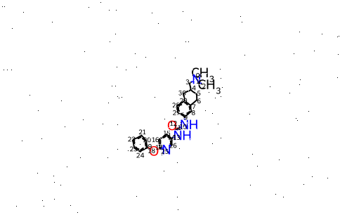 CN(C)CC1CCc2cc(NC(=O)Nc3ccc(Oc4ccccc4)nc3)ccc2C1